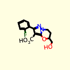 O=C(O)c1c(-c2ccccc2F)nn2c1OC(CO)CC2